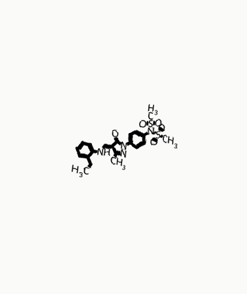 CCc1ccccc1NC=C1C(=O)N(c2ccc(N(S(C)(=O)=O)S(C)(=O)=O)cc2)N=C1C